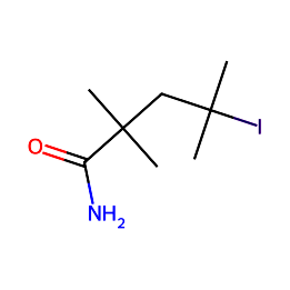 CC(C)(I)CC(C)(C)C(N)=O